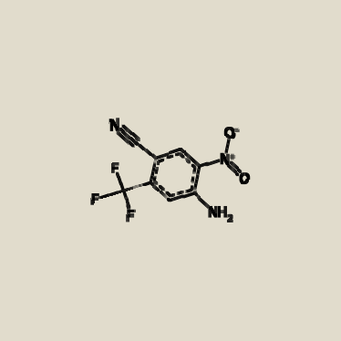 N#Cc1cc([N+](=O)[O-])c(N)cc1C(F)(F)F